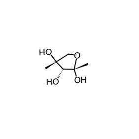 C[C@]1(O)OC[C@@](C)(O)[C@H]1O